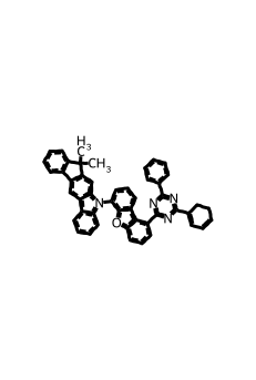 CC1(C)c2ccccc2-c2cc3c4ccccc4n(-c4cccc5c4oc4cccc(-c6nc(C7=CC=CCC7)nc(-c7ccccc7)n6)c45)c3cc21